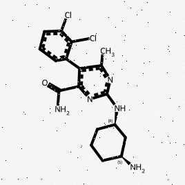 Cc1nc(N[C@@H]2CCC[C@H](N)C2)nc(C(N)=O)c1-c1cccc(Cl)c1Cl